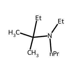 CCCN(CC)C(C)(C)CC